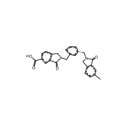 Cc1ccc2c(c1)C(=O)N(Cc1cccc(CN3Cc4ccc(C(=O)O)cc4C3=O)c1)C2